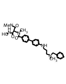 CNC(=O)C(C(=O)NO)N(C)C(=O)c1ccc(-c2ccc(NCCCN(C)Cc3ccccc3)cc2)cc1